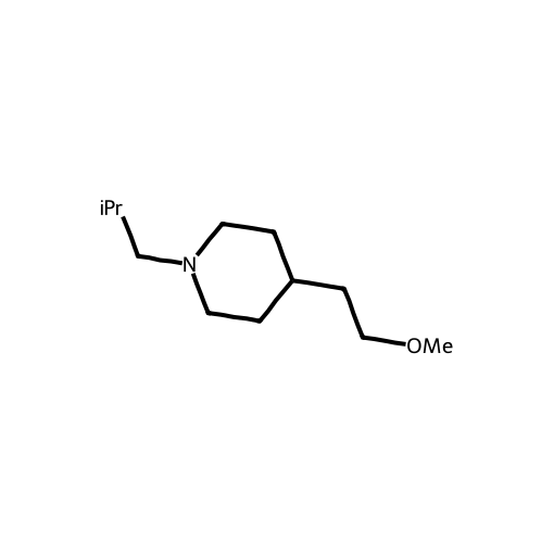 COCCC1CCN(CC(C)C)CC1